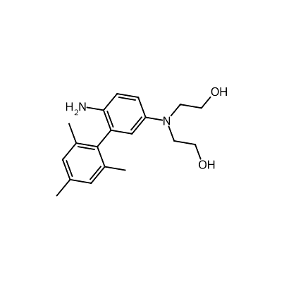 Cc1cc(C)c(-c2cc(N(CCO)CCO)ccc2N)c(C)c1